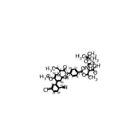 CCC(C(=O)Nc1ccc(C(=O)OC(C)C(NC(=O)OC(C)(C)C)C(=O)O)cc1)n1cc(OC)c(-c2cc(Cl)ccc2C#N)cc1=O